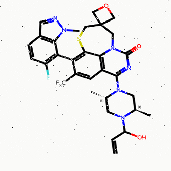 C=CC(O)N1C[C@H](C)N(c2nc(=O)n3c4c(c(-c5c(F)ccc6cnn(C)c56)c(C(F)(F)F)cc24)SCC2(COC2)C3)C[C@H]1C